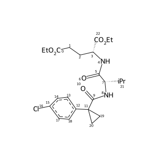 CCOC(=O)CC[C@@H](NC(=O)[C@@H](NC(=O)C1(c2ccc(Cl)cc2)CC1)C(C)C)C(=O)OCC